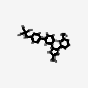 Cc1cccc(-c2nc(N)sc2-c2ccnc(-c3ccc(OC(F)(F)F)cc3)c2)n1